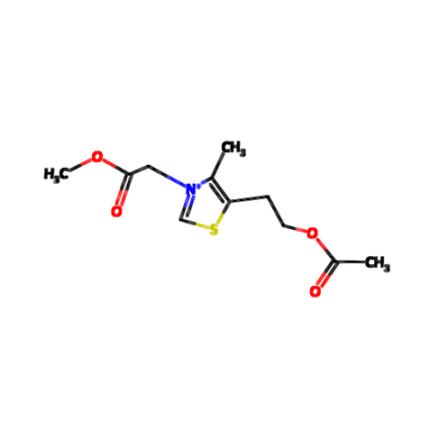 COC(=O)C[n+]1csc(CCOC(C)=O)c1C